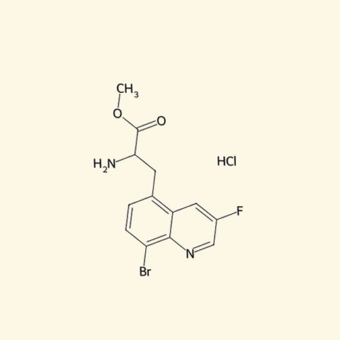 COC(=O)C(N)Cc1ccc(Br)c2ncc(F)cc12.Cl